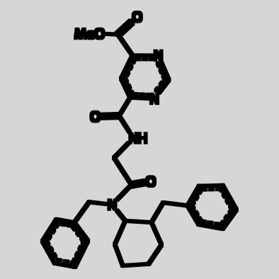 COC(=O)c1cc(C(=O)NCC(=O)N(Cc2ccccc2)C2CCCCC2Cc2ccccc2)ncn1